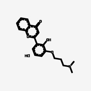 CN(C)CCCOc1cccc(-c2cc(=O)c3ccccc3o2)c1O.Cl